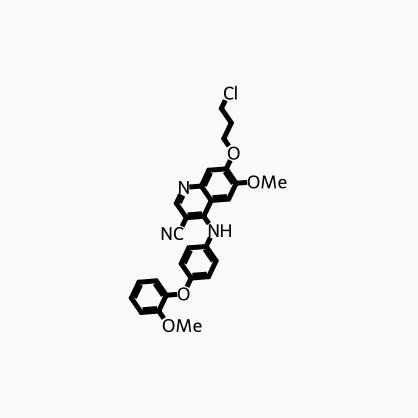 COc1cc2c(Nc3ccc(Oc4ccccc4OC)cc3)c(C#N)cnc2cc1OCCCCl